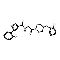 O=C(NCC(=O)N1CCC(Oc2ccccc2Cl)CC1)c1cc(-c2ccccc2O)on1